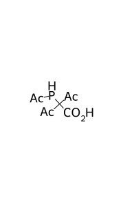 CC(=O)PC(C(C)=O)(C(C)=O)C(=O)O